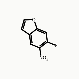 O=[N+]([O-])c1cc2ccoc2cc1F